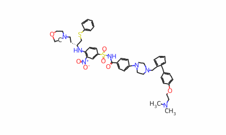 CN(C)CCOc1ccc(-c2ccccc2CN2CCN(c3ccc(C(=O)NS(=O)(=O)c4ccc(N[C@H](CCN5CCOCC5)CSc5ccccc5)c([N+](=O)[O-])c4)cc3)CC2)cc1